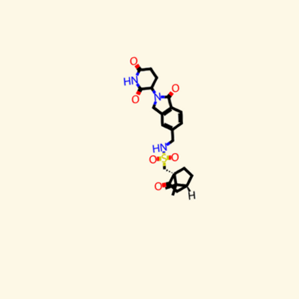 CC1(C)[C@@H]2CC[C@]1(CS(=O)(=O)NCc1ccc3c(c1)CN(C1CCC(=O)NC1=O)C3=O)C(=O)C2